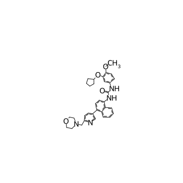 COc1ccc(NC(=O)Nc2ccc(-c3ccc(CN4CCOCC4)nc3)c3ccccc23)cc1OC1CCCC1